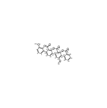 COc1cccc2c1oc(=O)c1c2ccc2c3cc(OC)c4c5ccccc5c(=O)oc4c3c(=O)oc21